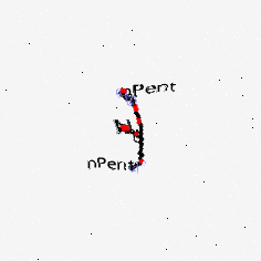 C=C(CCCN(C)C)OC(CCCCCCCC/C=C\C/C=C\CCCCC)CCCCCCCC/C=C\C/C=C\CCCCC